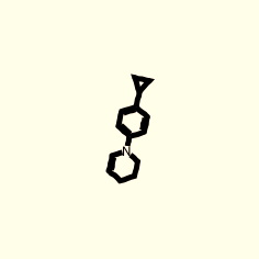 C1=CN(c2ccc(C3CC3)cc2)CCC1